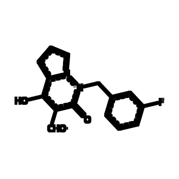 O=[C]c1c(O)c2cccn2n(Cc2cccc(F)c2)c1=O